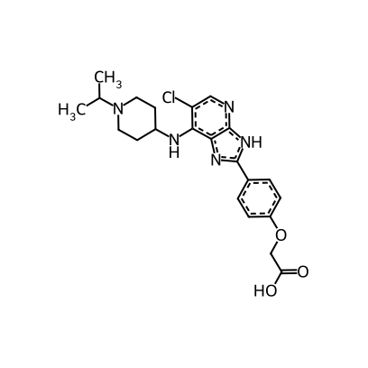 CC(C)N1CCC(Nc2c(Cl)cnc3[nH]c(-c4ccc(OCC(=O)O)cc4)nc23)CC1